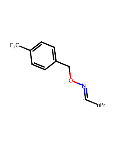 CCC/[C]=N/OCc1ccc(C(F)(F)F)cc1